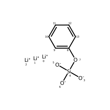 [Li+].[Li+].[Li+].[O-][Si]([O-])([O-])Oc1ccccc1